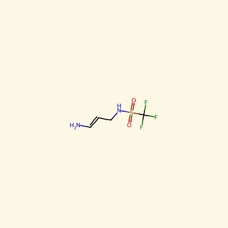 NC=CCNS(=O)(=O)C(F)(F)F